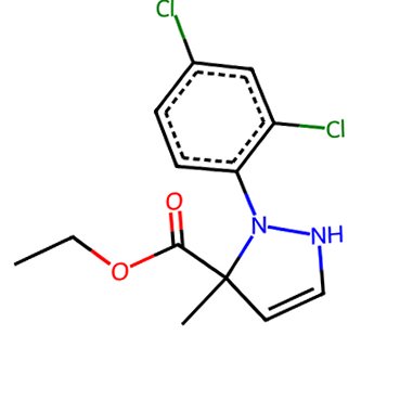 CCOC(=O)C1(C)C=CNN1c1ccc(Cl)cc1Cl